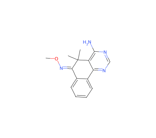 CON=C1c2ccccc2-c2ncnc(N)c2C1(C)C